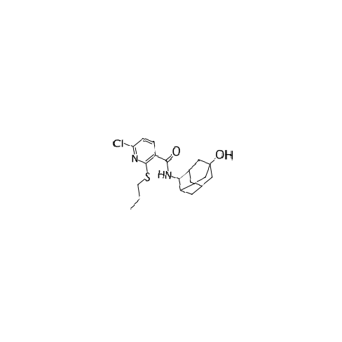 CCCSc1nc(Cl)ccc1C(=O)NC1C2CC3CC1CC(O)(C3)C2